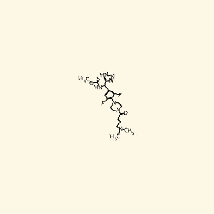 COC(=S)NC(c1cc(F)c(N2CCN(C(=O)CCCN(C)C)CC2)c(F)c1)c1c[nH]nn1